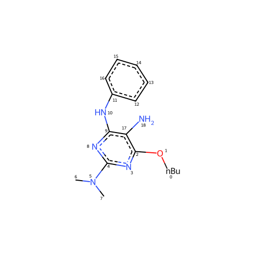 CCCCOc1nc(N(C)C)nc(Nc2ccccc2)c1N